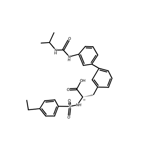 CCc1ccc(S(=O)(=O)N[C@@H](Cc2cccc(-c3cccc(NC(=O)NC(C)C)c3)c2)C(=O)O)cc1